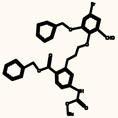 CC(C)(C)OC(=O)Nc1ccc(C(=O)OCc2ccccc2)c(CCCOc2c(C=O)cc(Br)cc2OCc2ccccc2)c1